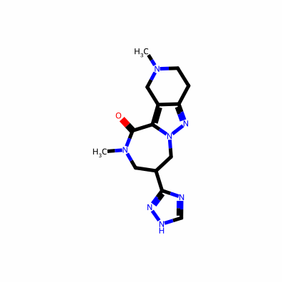 CN1CCc2nn3c(c2C1)C(=O)N(C)CC(c1nc[nH]n1)C3